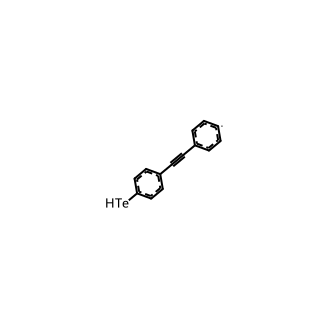 [TeH]c1ccc(C#Cc2cc[c]cc2)cc1